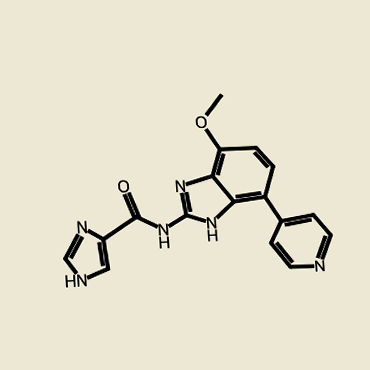 COc1ccc(-c2ccncc2)c2[nH]c(NC(=O)c3c[nH]cn3)nc12